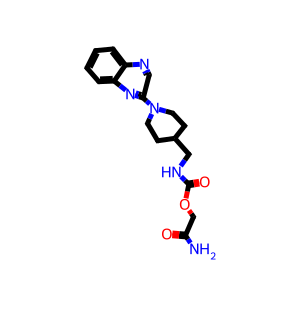 NC(=O)COC(=O)NCC1CCN(c2cnc3ccccc3n2)CC1